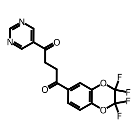 O=C(CCC(=O)c1ccc2c(c1)OC(F)(F)C(F)(F)O2)c1cncnc1